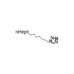 CCCCCCCCCCCCCCn1cnnn1